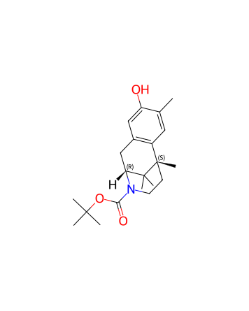 Cc1cc2c(cc1O)C[C@H]1N(C(=O)OC(C)(C)C)CC[C@]2(C)C1(C)C